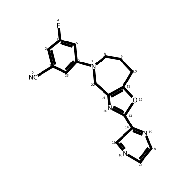 N#Cc1cc(F)cc(N2CCCc3oc(-c4cnccn4)nc3C2)c1